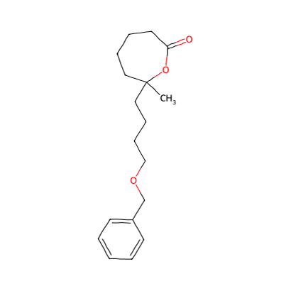 CC1(CCCCOCc2ccccc2)CCCCC(=O)O1